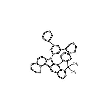 CC1(C)c2ccccc2-c2c3c1cccc3cc1c3c4ccccc4ccc3n(-c3cc(-c4ccccc4)cc(-c4ccccc4)n3)c21